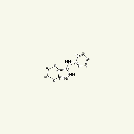 c1ccc(Nc2[nH]nc3c2CCCC3)cc1